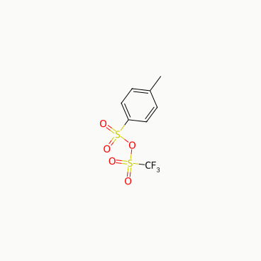 Cc1ccc(S(=O)(=O)OS(=O)(=O)C(F)(F)F)cc1